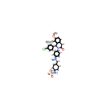 COc1c(OC(C)C)ccc2c1[C@H](c1ccc(Cl)cc1)N(c1ccc(N(C)CC3CCC(NS(C)(=O)=O)CC3)cc1)C(=O)C2